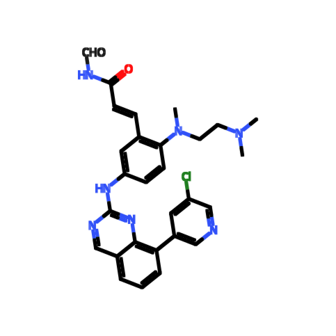 CN(C)CCN(C)c1ccc(Nc2ncc3cccc(-c4cncc(Cl)c4)c3n2)cc1C=CC(=O)NC=O